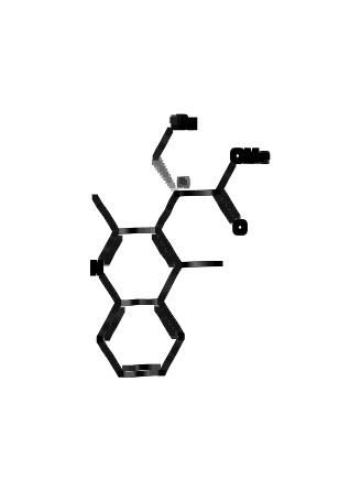 COC(=O)[C@@H](CC(C)(C)C)c1c(C)nc2ccccc2c1C